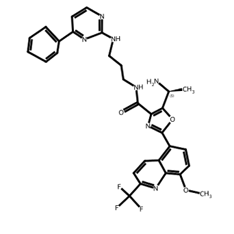 COc1ccc(-c2nc(C(=O)NCCCNc3nccc(-c4ccccc4)n3)c([C@H](C)N)o2)c2ccc(C(F)(F)F)nc12